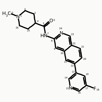 CN1CCC(C(=O)Nc2cc3cc(-c4cncc(F)c4)ccc3cn2)CC1